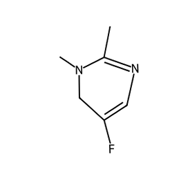 CC1=NC=C(F)CN1C